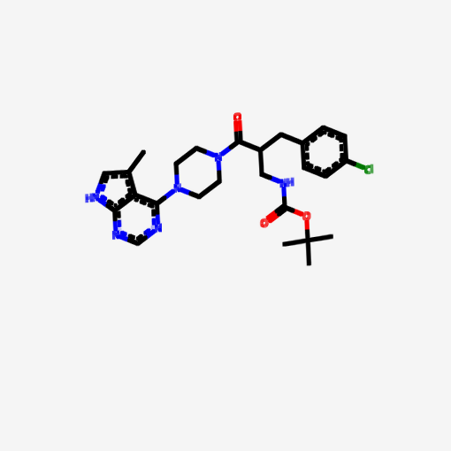 Cc1c[nH]c2ncnc(N3CCN(C(=O)C(CNC(=O)OC(C)(C)C)Cc4ccc(Cl)cc4)CC3)c12